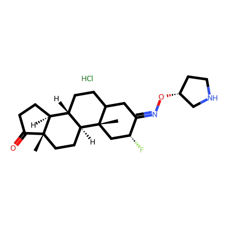 C[C@]12C[C@@H](F)/C(=N/O[C@@H]3CCNC3)CC1CC[C@@H]1[C@@H]2CC[C@]2(C)C(=O)CC[C@@H]12.Cl